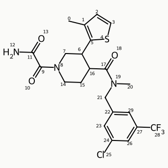 Cc1ccsc1C1CN(C(=O)C(N)=O)CCC1C(=O)N(C)Cc1cc(Cl)cc(C(F)(F)F)c1